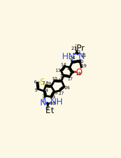 CCc1nc2c3ccsc3c3cc(-c4ccc5c(c4)OCc4nc(C(C)C)[nH]c4-5)ccc3c2[nH]1